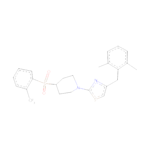 Cc1cccc(C)c1Cc1csc(N2CCC(S(=O)(=O)c3ccccc3C(F)(F)F)CC2)n1